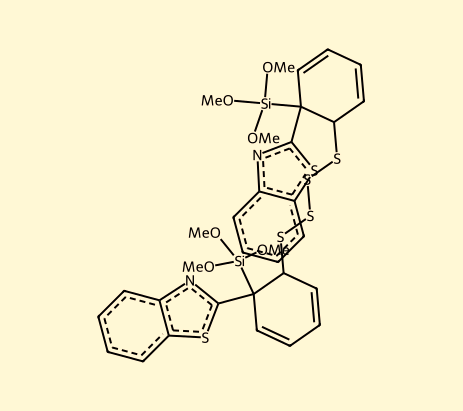 CO[Si](OC)(OC)C1(c2nc3ccccc3s2)C=CC=CC1SSSSC1C=CC=CC1(c1nc2ccccc2s1)[Si](OC)(OC)OC